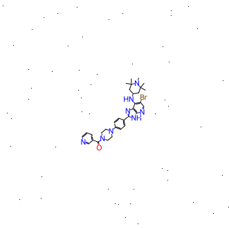 CN1C(C)(C)CC(Nc2c(Br)cnc3[nH]c(-c4ccc(N5CCN(C(=O)c6cccnc6)CC5)cc4)nc23)CC1(C)C